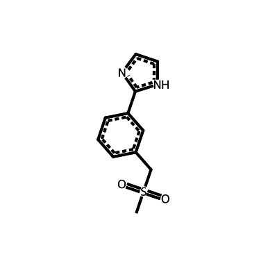 CS(=O)(=O)Cc1cccc(-c2ncc[nH]2)c1